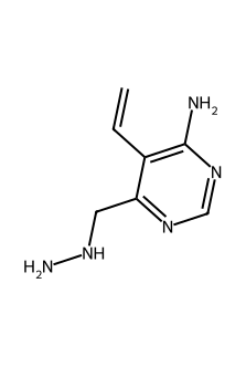 C=Cc1c(N)ncnc1CNN